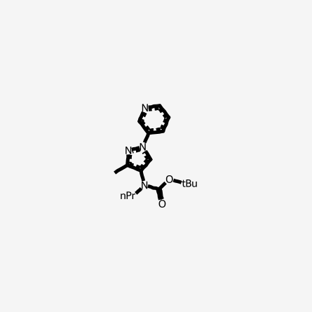 CCCN(C(=O)OC(C)(C)C)c1cn(-c2cccnc2)nc1C